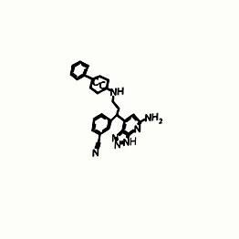 N#Cc1cccc(C(CCNC23CCC(c4ccccc4)(CC2)CC3)c2cc(N)nc3[nH]nnc23)c1